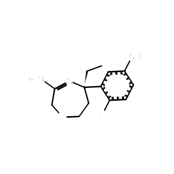 CC[C@@]1(c2cc(N)ccc2F)CCOCC(N)=N1